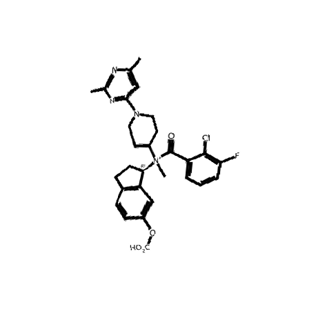 Cc1cc(N2CCC([N+](C)(C(=O)c3cccc(F)c3Cl)[C@@H]3CCc4ccc(OC(=O)O)cc43)CC2)nc(C)n1